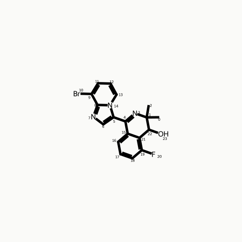 CC1(C)N=C(c2cnc3c(Br)cccn23)c2cccc(F)c2C1O